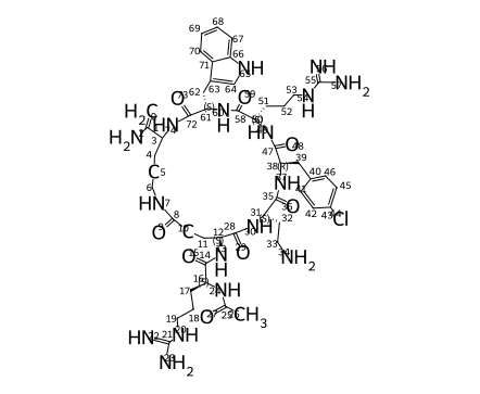 C=C(N)C1CCCNC(=O)CC[C@H](NC(=O)[C@H](CCCNC(=N)N)NC(C)=O)C(=O)N[C@@H](CCN)C(=O)N[C@H](Cc2ccc(Cl)cc2)C(=O)N[C@@H](CCCNC(=N)N)C(=O)N[C@@H](Cc2c[nH]c3ccccc23)C(=O)N1